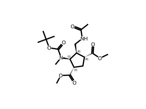 COC(=O)[C@H]1C[C@@H](C(=O)OC)[C@H](CNC(C)=O)[C@@H]1N(C)C(=O)OC(C)(C)C